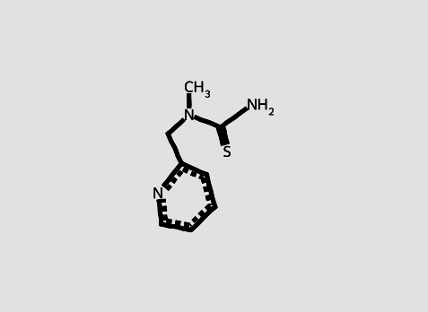 CN(Cc1ccccn1)C(N)=S